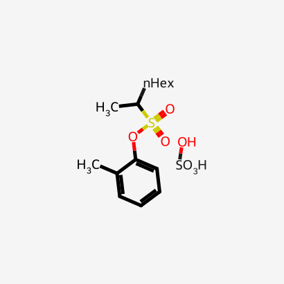 CCCCCCC(C)S(=O)(=O)Oc1ccccc1C.O=S(=O)(O)O